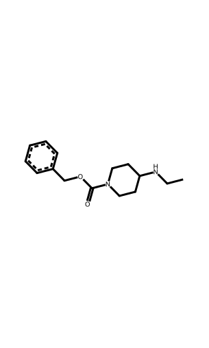 CCNC1CCN(C(=O)OCc2ccccc2)CC1